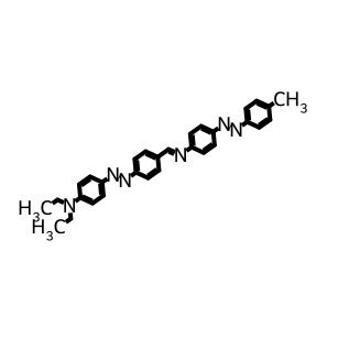 CCN(CC)c1ccc(N=Nc2ccc(C=Nc3ccc(N=Nc4ccc(C)cc4)cc3)cc2)cc1